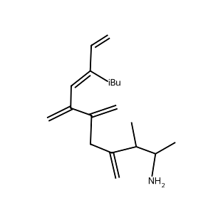 C=C/C(=C/C(=C)C(=C)CC(=C)C(C)C(C)N)C(C)CC